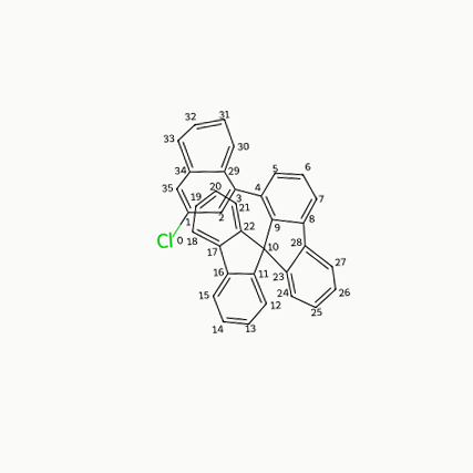 Clc1cc(-c2cccc3c2C2(c4ccccc4-c4ccccc42)c2ccccc2-3)c2ccccc2c1